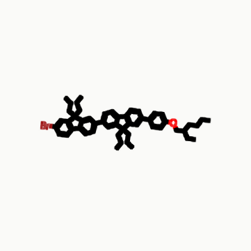 CCCCC(CC)COc1ccc(-c2ccc3c(c2)C(CCC)(CCC)c2cc(-c4ccc5c(c4)C(CCC)(CCC)c4cc(Br)ccc4-5)ccc2-3)cc1